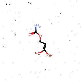 NC(=O)OCC=C(O)O